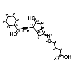 O=C(O)CCCON=C1CC2C1CC(O)C2C#CC(O)C1CCCCC1